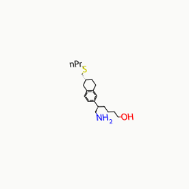 CCCSC[C@@H]1CCc2cc([C@H](CN)CCCCO)ccc2C1